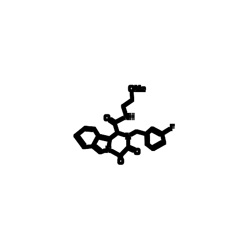 COCCNC(=O)C1c2c3ccccc3cn2C(=O)C(=O)N1Cc1cccc(F)c1